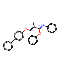 CC(=C\Oc1ccc(-c2ccccc2)cc1)/C(=N/c1ccccc1)Oc1ccccc1